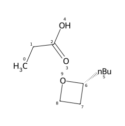 CCC(=O)O.CCCC[C@@H]1CCO1